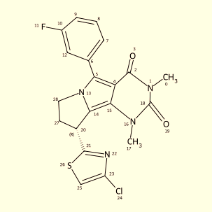 Cn1c(=O)c2c(-c3cccc(F)c3)n3c(c2n(C)c1=O)[C@H](c1nc(Cl)cs1)CC3